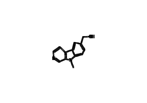 Cn1c2ccc(CO)cc2c2ccncc21